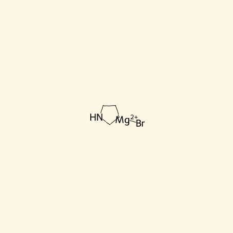 C1CCNC1.[Mg+2][Br]